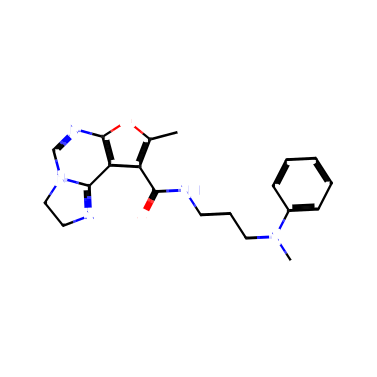 Cc1oc2c(c1C(=O)NCCCN(C)c1ccccc1)C1=NCCN1C=N2